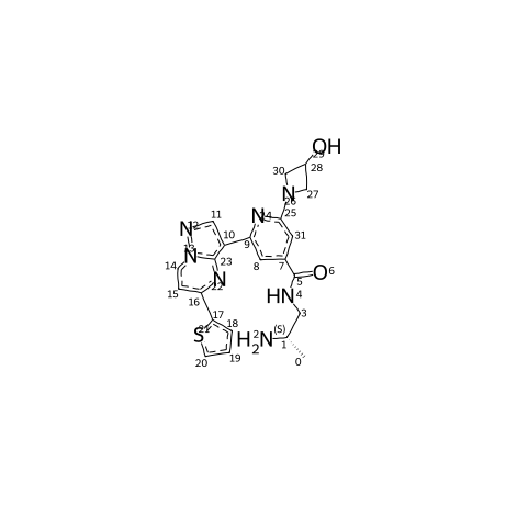 C[C@H](N)CNC(=O)c1cc(-c2cnn3ccc(-c4cccs4)nc23)nc(N2CC(O)C2)c1